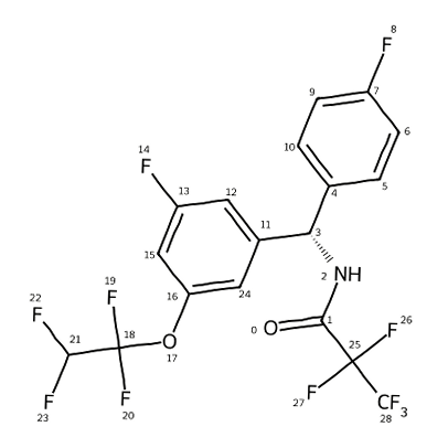 O=C(N[C@@H](c1ccc(F)cc1)c1cc(F)cc(OC(F)(F)C(F)F)c1)C(F)(F)C(F)(F)F